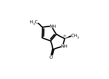 Cc1cc2c([nH]1)[C@@H](C)NC2=O